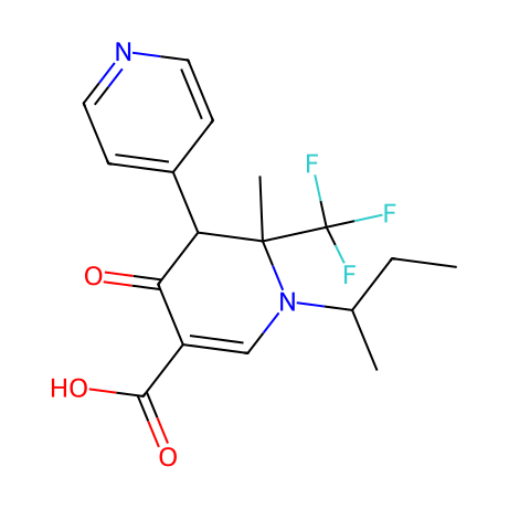 CCC(C)N1C=C(C(=O)O)C(=O)C(c2ccncc2)C1(C)C(F)(F)F